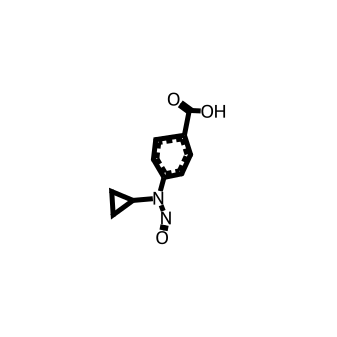 O=NN(c1ccc(C(=O)O)cc1)C1CC1